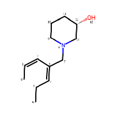 C/C=C\C(=C/CC)CN1CCC[C@H](O)C1